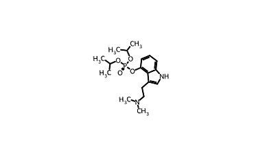 CC(C)OP(=O)(Oc1cccc2[nH]cc(CCN(C)C)c12)OC(C)C